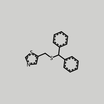 c1ccc(C(SCc2cncs2)c2ccccc2)cc1